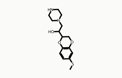 CSc1ccc2c(c1)OCC(C(O)CN1CCNCC1)O2